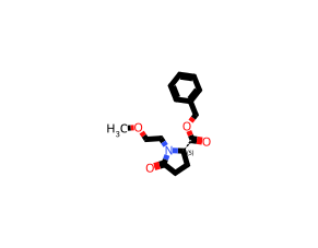 COCCN1C(=O)CC[C@H]1C(=O)OCc1ccccc1